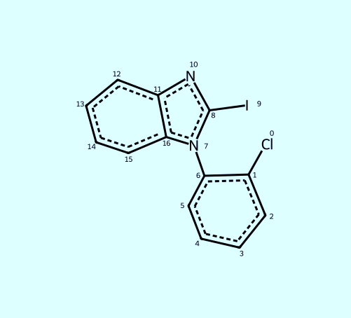 Clc1ccccc1-n1c(I)nc2ccccc21